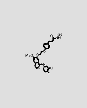 COc1cc2ncnc(Nc3ccc(F)c(Cl)c3)c2cc1OCCOc1ccc(/C=C/C(=O)NO)cc1